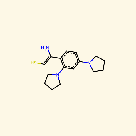 N/C(=C\S)c1ccc(N2CCCC2)cc1N1CCCC1